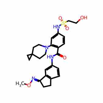 CO/N=C1\CCc2ccc(NC(=O)c3ccc(NS(=O)(=O)CCO)cc3N3CCC4(CC3)CC4)cc21